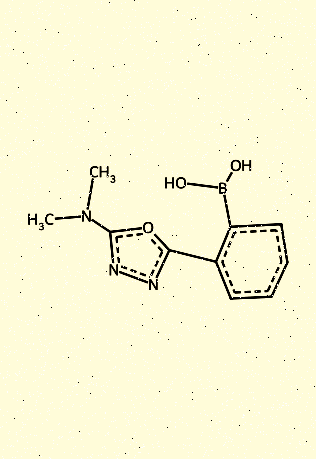 CN(C)c1nnc(-c2ccccc2B(O)O)o1